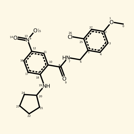 COc1ccc(CNC(=O)c2cc([N+](=O)[O-])ccc2NC2CCCC2)c(Cl)c1